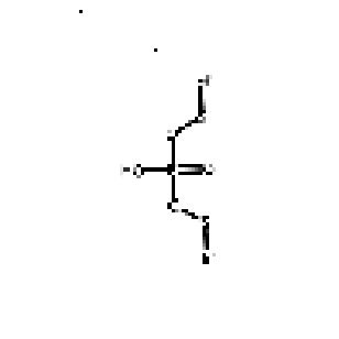 CCSOP(=O)(O)OSBr